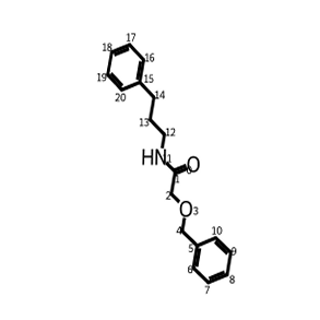 O=C(COCc1ccccc1)NCCCc1ccccc1